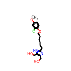 COc1ccc(OCCCCCCc2nc(CO)c(CO)[nH]2)c(Cl)c1